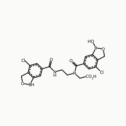 O=C(O)CN(CCNC(=O)c1cc(Cl)c2c(c1)BOC2)C(=O)c1cc(Cl)c2c(c1)B(O)OC2